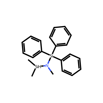 CN([SiH](C)C)[Si](c1ccccc1)(c1ccccc1)c1ccccc1